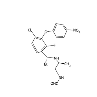 CC[C@@H](N[C@@H](C)CNC=O)c1ccc(Cl)c(Oc2ccc([N+](=O)[O-])cc2)c1F